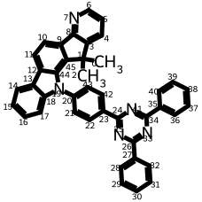 CC1(C)c2cccnc2-c2ccc3c4ccccc4n(-c4ccc(-c5nc(-c6ccccc6)nc(-c6ccccc6)n5)cc4)c3c21